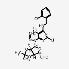 C=NN(c1nc(Cl)nc(NCc2ccccc2Cl)c1C)[C@@H]1O[C@H](C=O)[C@H]2OC(C)(C)O[C@H]21